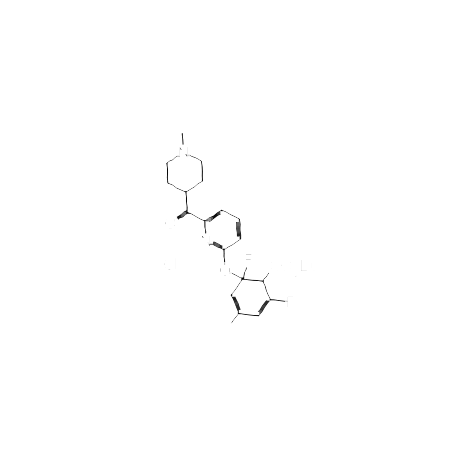 CCOC(=O)C1C(F)=CC(F)=CC1(F)Oc1cccc(C(=O)C2CCN(C)CC2)n1.Cl